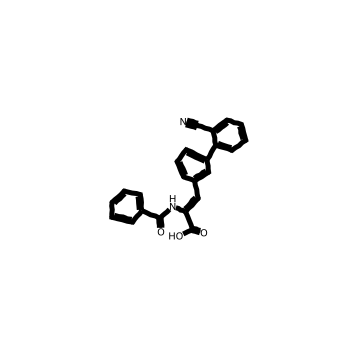 N#Cc1ccccc1-c1cccc(C=C(NC(=O)c2ccccc2)C(=O)O)c1